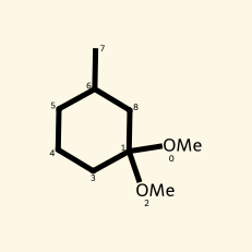 COC1(OC)CCCC(C)C1